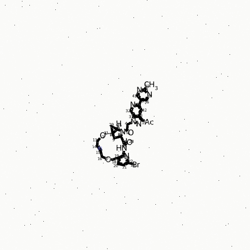 CC(=O)c1nn(CC(=O)N2[C@H]3C[C@@]4(COC/C=C/COCc5ccc(Br)nc5NC3=O)C[C@@H]24)c2cnc(-c3cnc(C)nc3)cc12